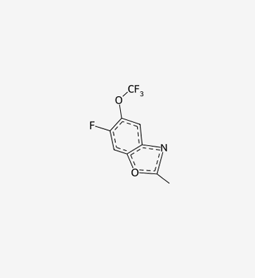 Cc1nc2cc(OC(F)(F)F)c(F)cc2o1